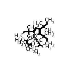 CCC(C)(C)c1cc(C(C)(C)CC)[n]([Ti]([O]C(C)C)([O]C(C)C)[O]C(C)C)c1C(C)(C)CC